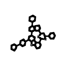 c1ccc(-c2ccc(-c3cc(-c4ccc(-c5ccccc5)cc4)c4oc5cccc(-c6nc(-c7ccccc7)cc(-c7ccccc7)n6)c5c4c3)cc2)cc1